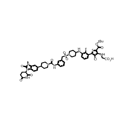 Cn1c(=O)n(C2CCC(=O)NC2=O)c2ccc(C3CCN(C(=O)Nc4cccc(CS(=O)(=O)N5CCC(Nc6cccc(-c7sc(C(=O)OC(C)(C)C)c(NCC(=O)O)c7Cl)c6F)CC5)c4)CC3)cc21